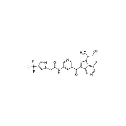 CC(CO)n1cc(C(=O)c2cncc(NC(=O)Cn3cc(C(F)(F)F)cn3)c2)c2cncc(F)c21